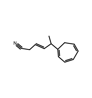 CC(C=CCC#N)C1=CC=CC=CC1